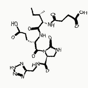 CC[C@H](C)[C@H](NC(=O)CCC(=O)O)C(=O)N[C@@H](CCC(=O)O)C(=O)N1C(=O)NC[C@H]1C(=O)NCc1nn[nH]n1